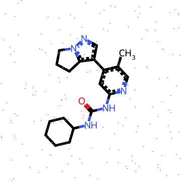 Cc1cnc(NC(=O)NC2CCCCC2)cc1-c1cnn2c1CCC2